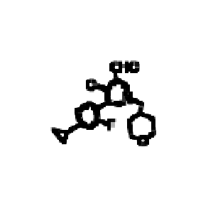 O=Cc1cn(CC2CCOCC2)cc(-c2ccc(C3CC3)cc2F)c1=O